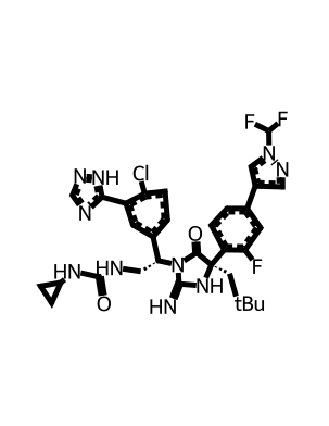 CC(C)(C)C[C@]1(c2ccc(-c3cnn(C(F)F)c3)cc2F)NC(=N)N([C@H](CNC(=O)NC2CC2)c2ccc(Cl)c(-c3ncn[nH]3)c2)C1=O